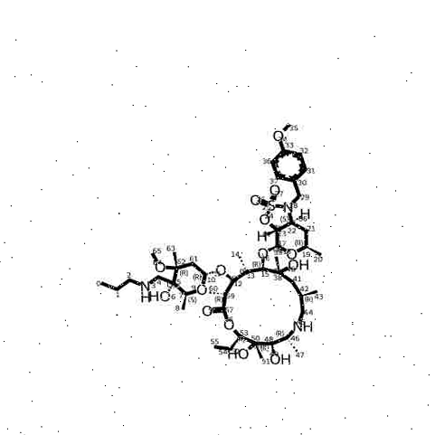 CCCNC[C@]1(O)[C@H](C)O[C@@H](O[C@H]2[C@H](C)[C@@H](O[C@@H]3O[C@H](C)C[C@H]4[C@H]3OS(=O)(=O)N4Cc3ccc(OC)cc3)[C@](C)(O)C[C@@H](C)CN[C@H](C)[C@@H](O)[C@](C)(O)[C@@H](CC)OC(=O)[C@@H]2C)C[C@@]1(C)OC